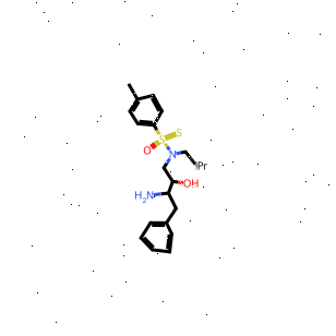 Cc1ccc(S(=O)(=S)N(CC(C)C)CC(O)C(N)Cc2ccccc2)cc1